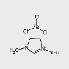 CCCC[n+]1ccn(C)c1.[Cl][Fe]([Cl])[Cl]